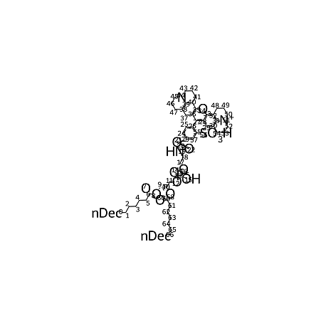 CCCCCCCCCCCCCCCC(=O)OC[C@H](CO[P+]([O-])(O)OCCNS(=O)(=O)c1ccc(C2=c3cc4c5c(c3OC3=C2CC2=C6C3CCCN6CCC2)CCC[N+]=5CCC4)c(S(=O)(=O)O)c1)OC(=O)CCCCCCCCCCCCCCC